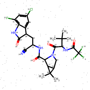 CC(C)(C)C(NC(=O)C(F)(F)F)C(=O)N1CC2C(C1C(=O)NC(C#N)CC1C(=O)Nc3c(F)cc(Cl)cc31)C2(C)C